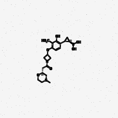 CN1CCO[C@H](CC(=O)N2CC(Oc3ccc(C4C[C@H]4B(O)O)c(O)c3C(=O)O)C2)C1